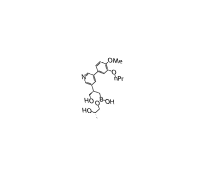 CCCOc1cc(-c2cncc([C@H](CO)CB(O)OC[C@H](C)O)c2)ccc1OC